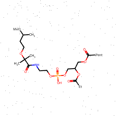 CCCC(C)C(=O)OCC(COP(=O)(O)OCCNC(=O)C(C)(C)OCCC(C)OC)OC(=O)CC